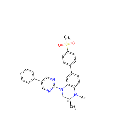 CC(=O)N1c2ccc(-c3ccc(S(C)(=O)=O)cc3)cc2N(c2ncc(-c3ccccc3)cn2)C[C@@H]1C